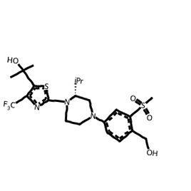 CC(C)[C@@H]1CN(c2ccc(CO)c(S(C)(=O)=O)c2)CCN1c1nc(C(F)(F)F)c(C(C)(C)O)s1